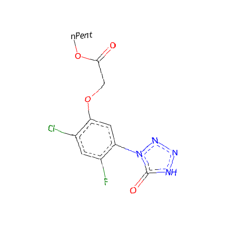 CCCCCOC(=O)COc1cc(-n2nn[nH]c2=O)c(F)cc1Cl